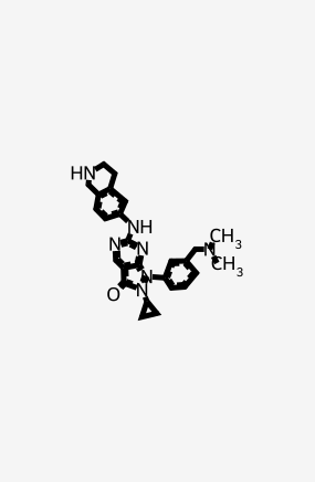 CN(C)Cc1cccc(-n2c3nc(Nc4ccc5c(c4)CCNC5)ncc3c(=O)n2C2CC2)c1